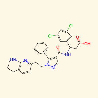 O=C(O)CC(NC(=O)c1cnn(CCc2ccc3c(n2)NCCC3)c1-c1ccccc1)c1cc(Cl)cc(Cl)c1